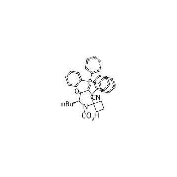 CCCC[C@@H](C(=O)C(C#N)=P(c1ccccc1)(c1ccccc1)c1ccccc1)N(C(=O)O)C1(Cc2ccccc2)CCC1